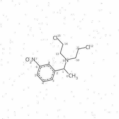 CC(c1cccc([N+](=O)[O-])c1)N(CCCl)CCCl